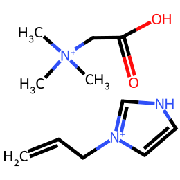 C=CC[n+]1cc[nH]c1.C[N+](C)(C)CC(=O)O